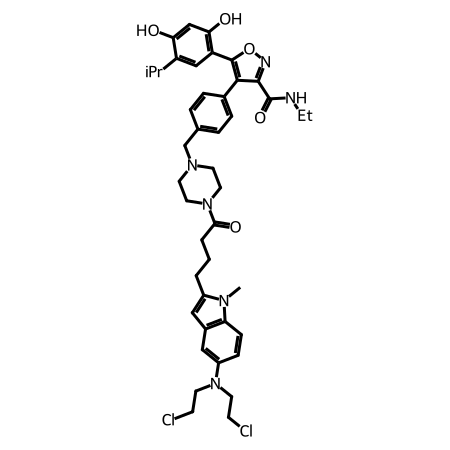 CCNC(=O)c1noc(-c2cc(C(C)C)c(O)cc2O)c1-c1ccc(CN2CCN(C(=O)CCCc3cc4cc(N(CCCl)CCCl)ccc4n3C)CC2)cc1